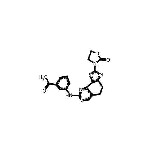 CC(=O)c1cccc(Nc2ncc3c(n2)-c2sc(N4CCOC4=O)nc2CC3)c1